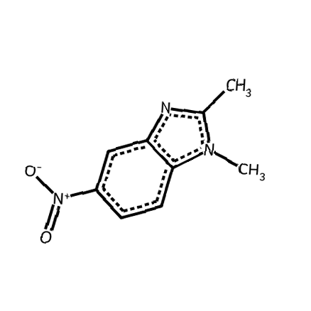 Cc1nc2cc([N+](=O)[O-])ccc2n1C